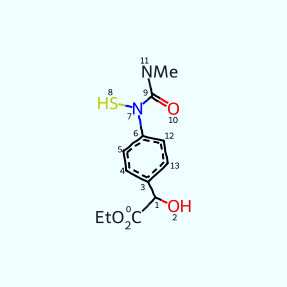 CCOC(=O)C(O)c1ccc(N(S)C(=O)NC)cc1